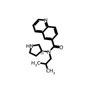 CC(C)CN(C(=O)c1ccc2ncccc2c1)[C@H]1CCNC1